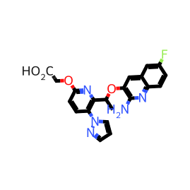 CC(Oc1cc2cc(F)ccc2nc1N)c1nc(OCC(=O)O)ccc1-n1cccn1